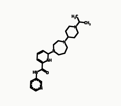 CC(C)N1CCC(N2CCCN(C3C=CC=C(C(=O)Nc4cccnc4)N3)CC2)CC1